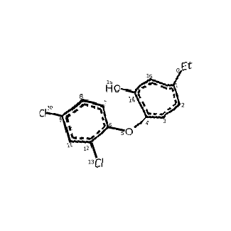 CCc1ccc(Oc2ccc(Cl)cc2Cl)c(O)c1